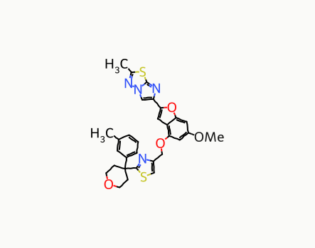 COc1cc(OCc2csc(C3(c4cccc(C)c4)CCOCC3)n2)c2cc(-c3cn4nc(C)sc4n3)oc2c1